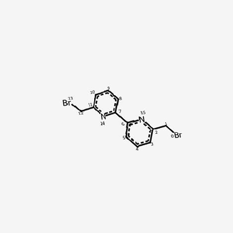 BrCc1cccc(-c2cccc(CBr)n2)n1